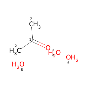 CC(C)=O.O.O.O